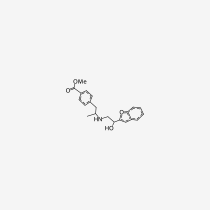 COC(=O)c1ccc(CC(C)NCC(O)c2cc3ccccc3o2)cc1